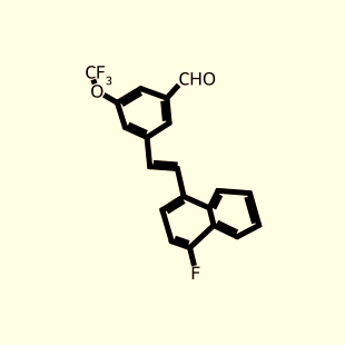 O=Cc1cc(/C=C/c2ccc(F)c3ccccc23)cc(OC(F)(F)F)c1